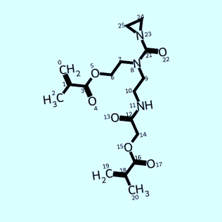 C=C(C)C(=O)OCCN(CCNC(=O)COC(=O)C(=C)C)C(=O)N1CC1